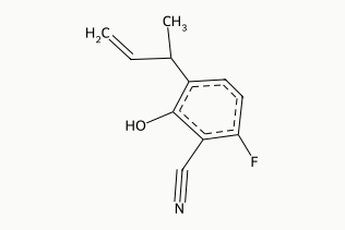 C=CC(C)c1ccc(F)c(C#N)c1O